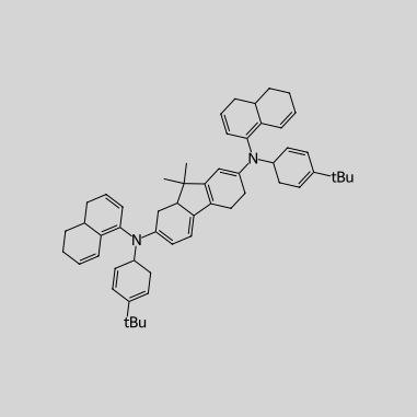 CC(C)(C)C1=CCC(N(C2=CC3=C(CC2)C2=CC=C(N(C4=C5C=CCCC5CC=C4)C4C=CC(C(C)(C)C)=CC4)CC2C3(C)C)C2=C3C=CCCC3CC=C2)C=C1